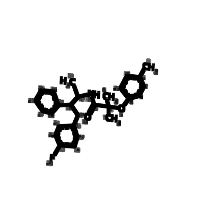 Cc1ccc(OC(C)(C)C(=O)NC(C)C(Cc2ccc(F)cc2)c2ccccc2)cc1